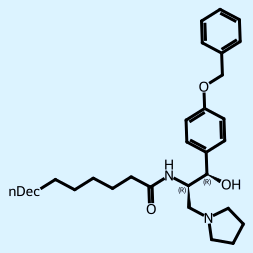 CCCCCCCCCCCCCCCC(=O)N[C@H](CN1CCCC1)[C@H](O)c1ccc(OCc2ccccc2)cc1